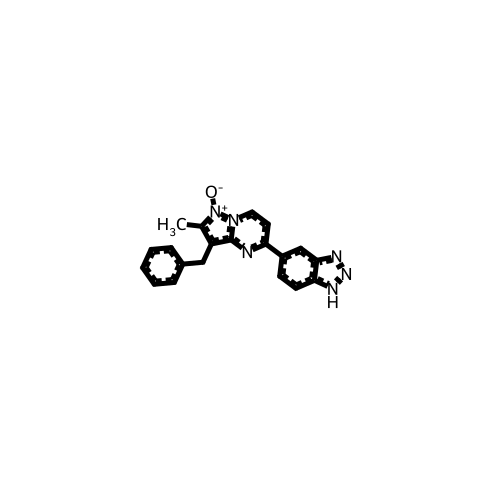 Cc1c(Cc2ccccc2)c2nc(-c3ccc4[nH]nnc4c3)ccn2[n+]1[O-]